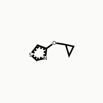 [c]1nc(OC2CC2)cs1